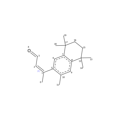 C/C(=C/C=O)c1cc2c(cc1C)C(C)(C)CCC2(C)C